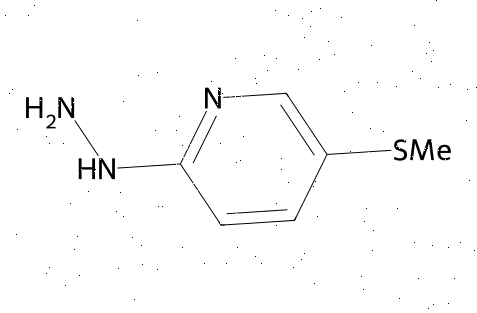 CSc1ccc(NN)nc1